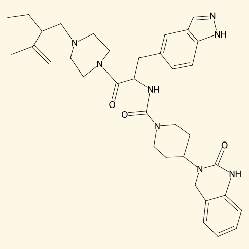 C=C(C)C(CC)CN1CCN(C(=O)C(Cc2ccc3[nH]ncc3c2)NC(=O)N2CCC(N3Cc4ccccc4NC3=O)CC2)CC1